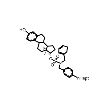 CCCCCCCc1ccc(CN(CC2=CC=CCC2)S(=O)(=O)O[C@H]2CCC3C4CCc5cc(O)ccc5C4CC[C@@]32C)cc1